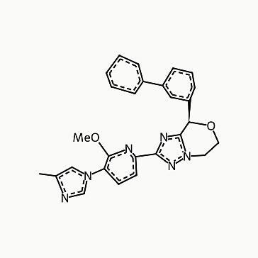 COc1nc(-c2nc3n(n2)CCO[C@@H]3c2cccc(-c3ccccc3)c2)ccc1-n1cnc(C)c1